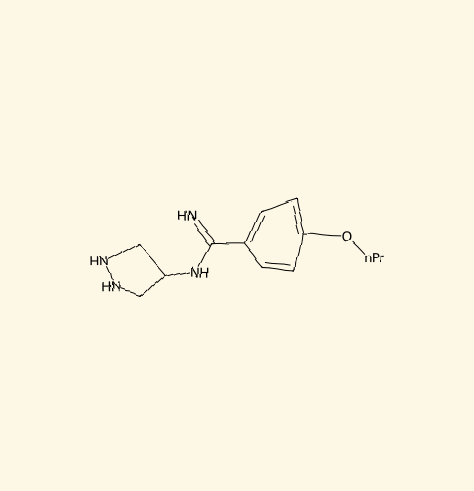 CCCOc1ccc(C(=N)NC2CNNC2)cc1